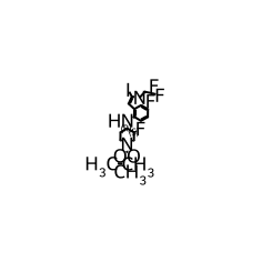 CC(C)(C)OC(=O)N1CC[C@@H](Nc2cccc3c2cc(I)n3CC(F)(F)F)[C@@H](F)C1